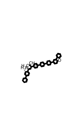 CC(C)C(/C=C(\N)c1ccc(C2=CCCC=C2)cc1)c1ccc(-c2ccc(-c3ccc(-c4ccc5oc6ccccc6c5c4)cc3)cc2)cc1